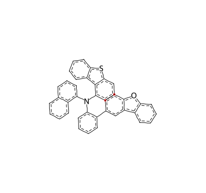 c1ccc(N(c2cccc3ccccc23)c2cccc3sc4ccccc4c23)c(-c2ccc3oc4ccccc4c3c2)c1